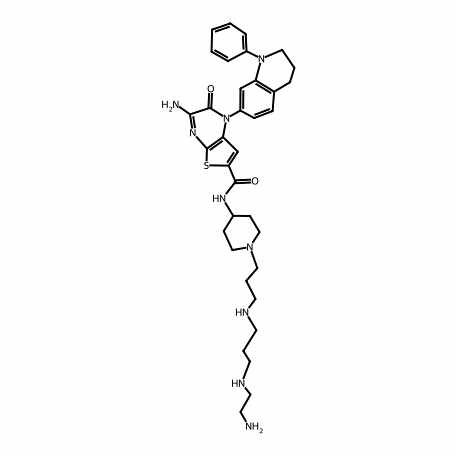 NCCNCCCNCCCN1CCC(NC(=O)c2cc3c(nc(N)c(=O)n3-c3ccc4c(c3)N(c3ccccc3)CCC4)s2)CC1